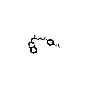 CN(CCCOc1ccc(N)cc1)Cc1cnc2ccccc2n1